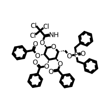 N=C(O[C@H]1O[C@H](COP(=O)(Cc2ccccc2)Cc2ccccc2)[C@@H](OC(=O)c2ccccc2)[C@H](OC(=O)c2ccccc2)[C@@H]1OC(=O)c1ccccc1)C(Cl)(Cl)Cl